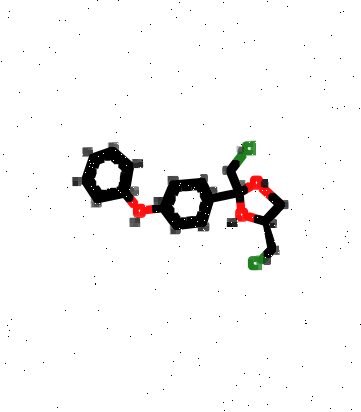 ClC[C@@H]1COC(CCl)(c2ccc(Oc3ccccc3)cc2)O1